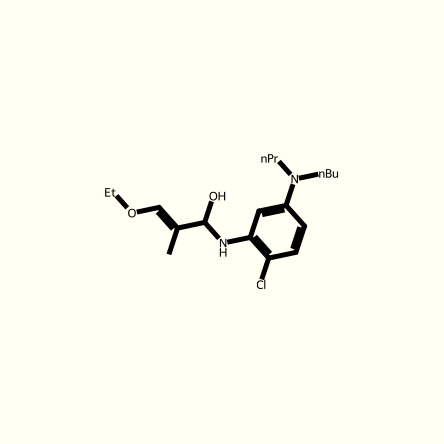 CCCCN(CCC)c1ccc(Cl)c(NC(O)/C(C)=C/OCC)c1